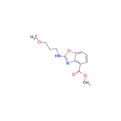 COCCCNc1nc2c(C(=O)OC)cccc2o1